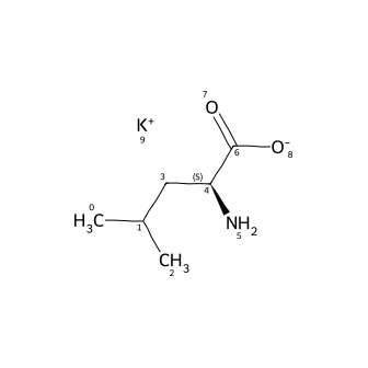 CC(C)C[C@H](N)C(=O)[O-].[K+]